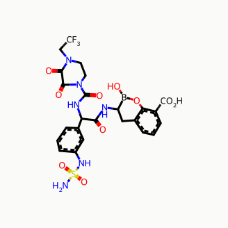 NS(=O)(=O)Nc1cccc(C(NC(=O)N2CCN(CC(F)(F)F)C(=O)C2=O)C(=O)NC2Cc3cccc(C(=O)O)c3OB2O)c1